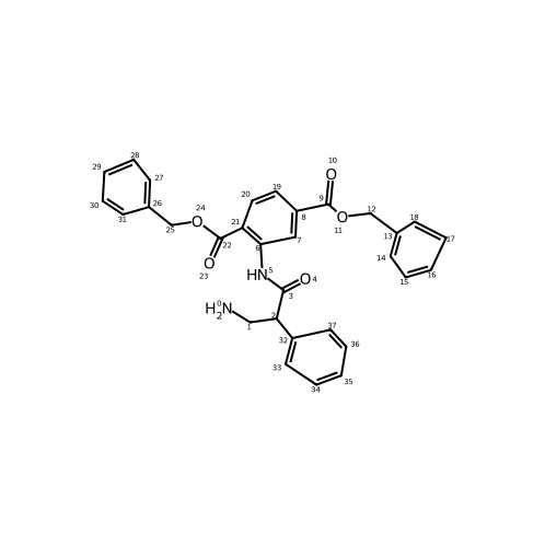 NCC(C(=O)Nc1cc(C(=O)OCc2ccccc2)ccc1C(=O)OCc1ccccc1)c1ccccc1